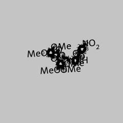 COc1cc(OC)c2c(=O)c(OCCCN3CCNC(S(=O)(=O)c4ccc([N+](=O)[O-])cc4)C3)c(-c3cc(OC)c(OC)c(OC)c3)oc2c1